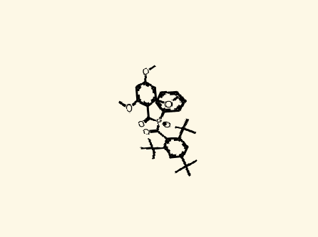 COc1cc(OC)c(C(=O)P(=O)(C(=O)c2c(C(C)(C)C)cc(C(C)(C)C)cc2C(C)(C)C)c2ccccc2)c(OC)c1